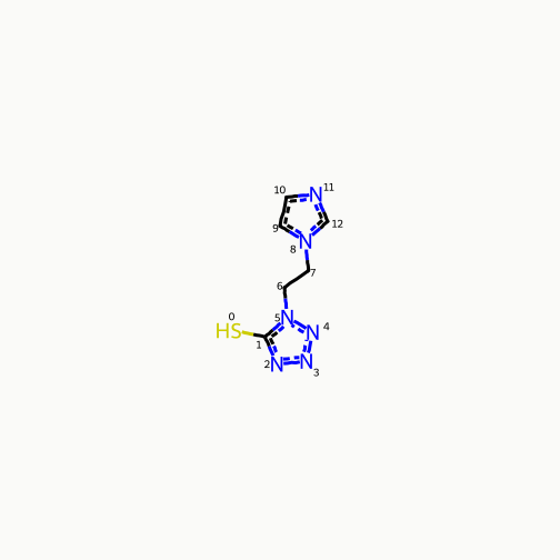 Sc1nnnn1CCn1ccnc1